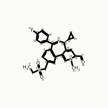 CCS(=O)(=O)Cc1ccc2c(c1)C1=CN(C)C(C=O)C=C1[C@H](C1CC1)N=C2c1ccc(F)cc1